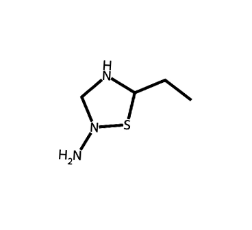 CCC1NCN(N)S1